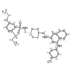 O=S(=O)(NC[C@H]1CC[C@H](CNc2nc(Nc3ccc(Cl)cc3)c3ccccc3n2)CC1)c1cc(OCC(F)(F)F)ccc1OCC(F)(F)F